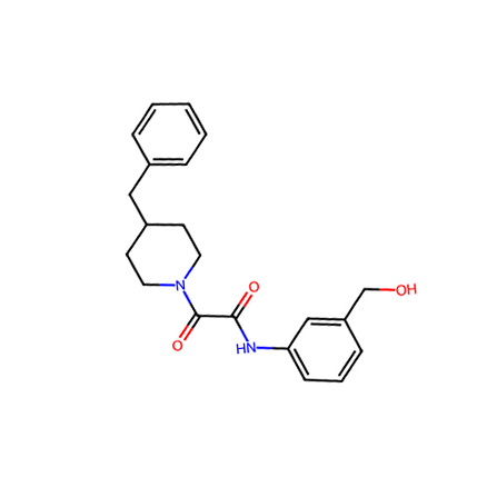 O=C(Nc1cccc(CO)c1)C(=O)N1CCC(Cc2ccccc2)CC1